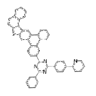 c1ccc(-c2nc(-c3ccc(-c4ccccn4)cc3)nc(-c3ccc4c(c3)c3ccccc3c3cc5c(cc43)sc3ccc4ccccc4c35)n2)cc1